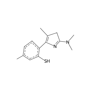 CC1=C(c2ccc(C)cc2S)N=C(N(C)C)C1